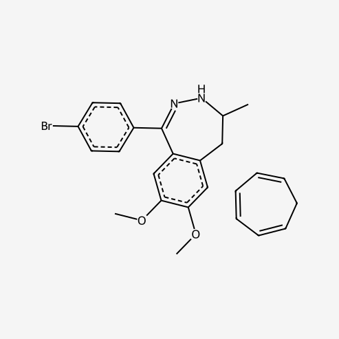 C1=CC=CCC=C1.COc1cc2c(cc1OC)C(c1ccc(Br)cc1)=NNC(C)C2